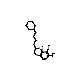 Fc1ccc2c(c1F)OC(CCCCC1CCCCC1)CC2